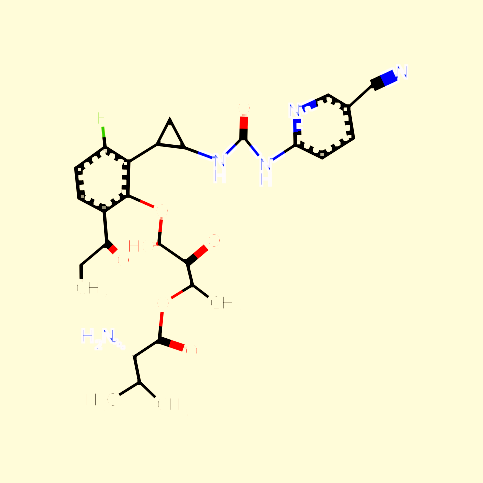 CCC(=O)c1ccc(F)c(C2CC2NC(=O)Nc2ccc(C#N)cn2)c1OC(O)C(=O)C(C)OC(=O)[C@@H](N)C(C)C